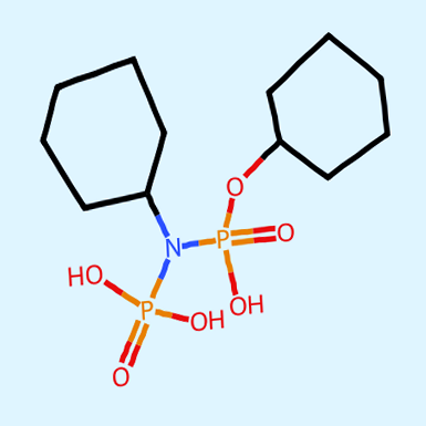 O=P(O)(O)N(C1CCCCC1)P(=O)(O)OC1CCCCC1